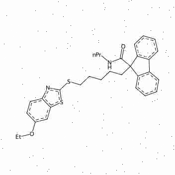 CCCNC(=O)C1(CCCCCSc2nc3ccc(OCC)cc3s2)c2ccccc2-c2ccccc21